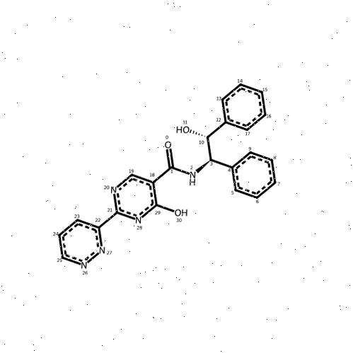 O=C(N[C@H](c1ccccc1)[C@H](O)c1ccccc1)c1cnc(-c2cccnn2)nc1O